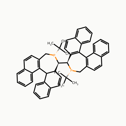 CC(C)(C)[P@@]1Cc2ccc3ccccc3c2-c2c(ccc3ccccc23)[C@@H]1[C@H]1C2C=Cc3ccccc3C2c2c(ccc3ccccc23)C[P@]1C(C)(C)C